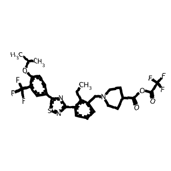 CCc1c(CN2CCC(C(=O)OC(=O)C(F)(F)F)CC2)cccc1-c1nsc(-c2ccc(OC(C)C)c(C(F)(F)F)c2)n1